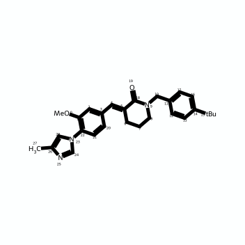 COc1cc(C=C2CCCN(Cc3ccc(C(C)(C)C)cc3)C2=O)ccc1-n1cnc(C)c1